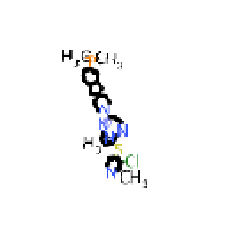 Cc1nccc(SC2=CC=C3/N=C(/N4CCC5(CC4)CC4C=CC(P(C)C)=CC4C5)C=C/N=C/2N3C)c1Cl